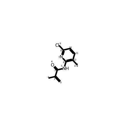 C=C(C)C(=O)Nc1nc(Cl)ccc1I